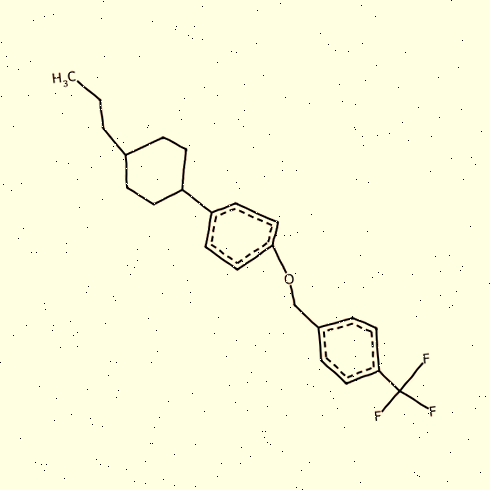 CCCC1CCC(c2ccc(OCc3ccc(C(F)(F)F)cc3)cc2)CC1